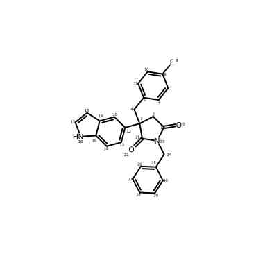 O=C1CC(Cc2ccc(F)cc2)(c2ccc3[nH]ccc3c2)C(=O)N1Cc1ccccc1